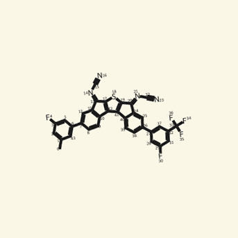 Cc1cc(F)cc(-c2ccc3c(c2)/c(=N/C#N)c2sc4/c(=N/C#N)c5cc(-c6cc(F)cc(C(F)(F)F)c6)ccc5c4c23)c1